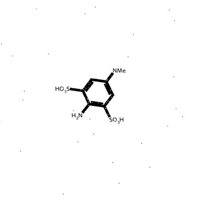 CNc1cc(S(=O)(=O)O)c(N)c(S(=O)(=O)O)c1